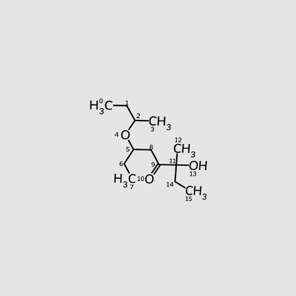 CCC(C)OC(CC)CC(=O)C(C)(O)CC